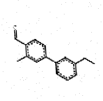 CCc1cccc(-c2ccc(C=O)c(C)c2)c1